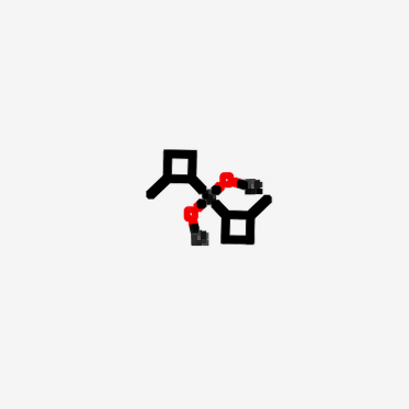 CCO[Si](OCC)(C1CCC1C)C1CCC1C